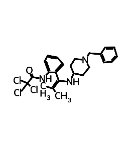 CC(C)=C(NC1CCN(Cc2ccccc2)CC1)c1ccccc1NC(=O)C(Cl)(Cl)Cl